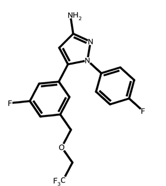 Nc1cc(-c2cc(F)cc(COCC(F)(F)F)c2)n(-c2ccc(F)cc2)n1